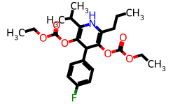 CCCC1=C(OC(=O)OCC)C(c2ccc(F)cc2)C(OC(=O)OCC)=C(C(C)C)N1